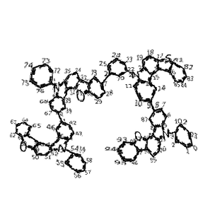 c1ccc(-n2c3ccc(-c4ccc5c(c4)c4c6c(ccc4n5-c4cccc(-c5ccc7oc8c(ccc9c8c8cc(-c%10ccc%11c(c%10)c%10c%12c(ccc%10n%11-c%10ccccc%10)oc%10ccccc%10%12)ccc8n9-c8ccccc8)c7c5)c4)sc4ccccc46)cc3c3c4oc5ccccc5c4ccc32)cc1